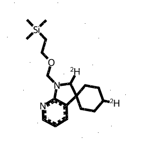 [2H]C1CCC2(CC1)c1cccnc1N(COCC[Si](C)(C)C)C2[2H]